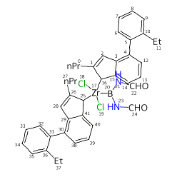 CCCC1=Cc2c(-c3ccccc3CC)cccc2[CH]1[Zr]([Cl])([Cl])([B](NC=O)NC=O)[CH]1C(CCC)=Cc2c(-c3ccccc3CC)cccc21